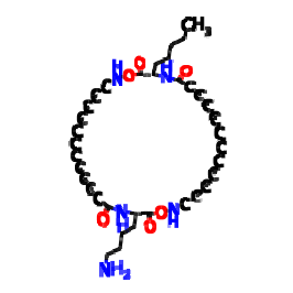 CCCCCC1NC(=O)CCCCCCCCCCCNOC(=O)C(CCCCN)NC(=O)CCCCCCCCCCCNOC1=O